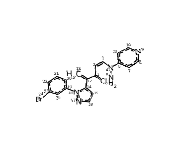 C=C(/C=C\N(N)c1ccncc1)C(=C)c1ccnn1-c1cccc(Br)c1